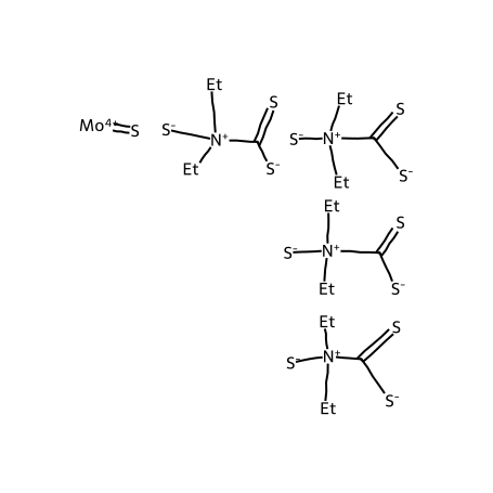 CC[N+]([S-])(CC)C(=S)[S-].CC[N+]([S-])(CC)C(=S)[S-].CC[N+]([S-])(CC)C(=S)[S-].CC[N+]([S-])(CC)C(=S)[S-].[S]=[Mo+4]